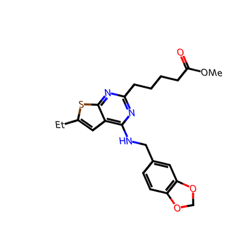 CCc1cc2c(NCc3ccc4c(c3)OCO4)nc(CCCCC(=O)OC)nc2s1